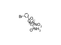 CC(OC(=O)c1cccc(Br)c1)n1ncc(C(N)=O)c1[N+](=O)[O-]